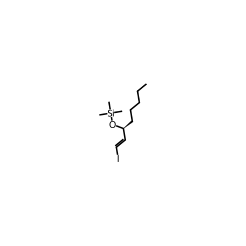 CCCCC[C@@H](/C=C/I)O[Si](C)(C)C